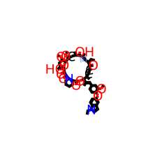 CCC1/C=C(\C)C(O)C(C)CC(OC)C2OC(O)(C(=O)C(=O)N3CCCCC3C(=O)OC(C(C)=CC3CCC(Oc4ccc5c(ccn5CC)c4)C(OC)C3)C(C)CCC1=O)C(C)CC2OC